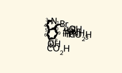 Brc1nccc2ccccc12.CC(C)C.CC(C)C.N.O=C(O)O.O=C(O)O